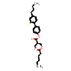 CCCCCC1OCC(C(=O)Oc2ccc(-c3ccc(CCCC)cc3F)cc2)CO1